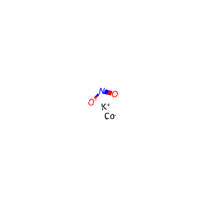 O=N[O-].[Co].[K+]